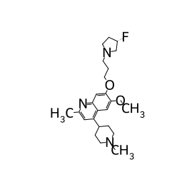 COc1cc2c(C3CCN(C)CC3)cc(C)nc2cc1OCCCN1CC[C@H](F)C1